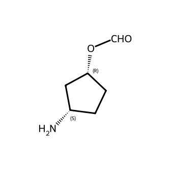 N[C@H]1CC[C@@H](OC=O)C1